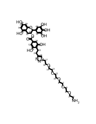 NCCOCCOCCOCCOCCOCCn1cc(CCc2c(O)cc(C(=O)O[C@@H]3Cc4c(O)cc(O)cc4OC3c3cc(O)c(O)c(O)c3)cc2O)nn1